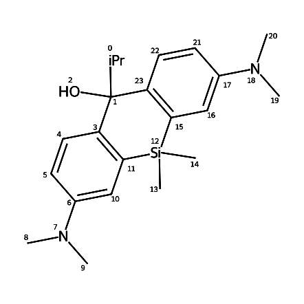 CC(C)C1(O)c2ccc(N(C)C)cc2[Si](C)(C)c2cc(N(C)C)ccc21